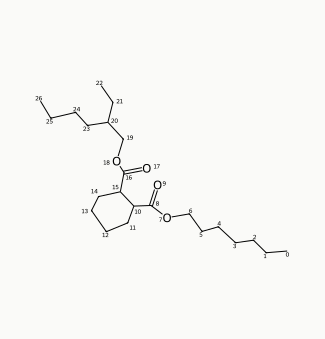 CCCCCCCOC(=O)C1CCCCC1C(=O)OCC(CC)CCCC